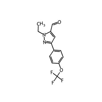 CCn1nc(-c2ccc(OC(F)(F)F)cc2)cc1C=O